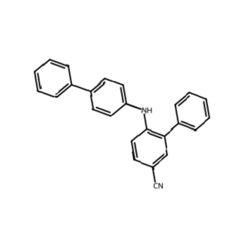 N#Cc1ccc(Nc2ccc(-c3ccccc3)cc2)c(-c2ccccc2)c1